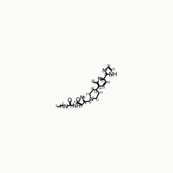 CCNC(=O)Nc1cc(CN2CCC(c3ccc(-c4ncc[nH]4)nc3C)CC2)no1